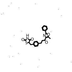 Cc1oc(-c2ccccc2)nc1C(=O)CCc1ccc(CC2SC(=O)NC2=O)cc1